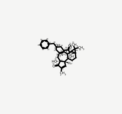 CC1=C[C@H]2[C@@]3(O)CC[C@]4(OC(=O)[C@H](N)CCCc5ccccc5)[C@@H]([C@@H]3C=C(CO)C[C@]2(O)C1=O)C4(C)C